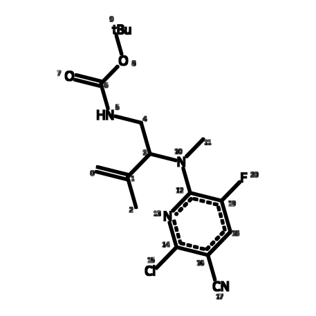 C=C(C)C(CNC(=O)OC(C)(C)C)N(C)c1nc(Cl)c(C#N)cc1F